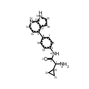 NC(C(=O)Nc1ccc(-c2ccnc3[nH]ccc23)cc1)C1CC1